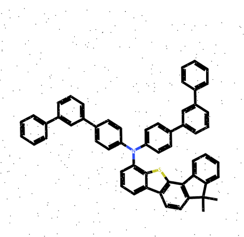 CC1(C)c2ccccc2-c2c1ccc1c2sc2c(N(c3ccc(-c4cccc(-c5ccccc5)c4)cc3)c3ccc(-c4cccc(-c5ccccc5)c4)cc3)cccc21